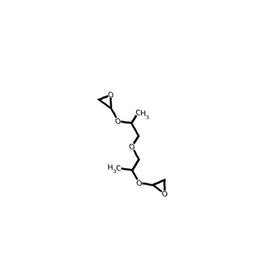 CC(COCC(C)OC1CO1)OC1CO1